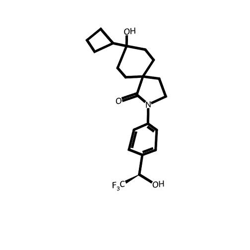 O=C1N(c2ccc([C@@H](O)C(F)(F)F)cc2)CCC12CCC(O)(C1CCC1)CC2